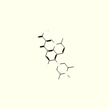 CC1CN(c2c(F)cc3c(=O)c(C(=O)O)cn4c3c2C=CC4C)CC(C)N1C